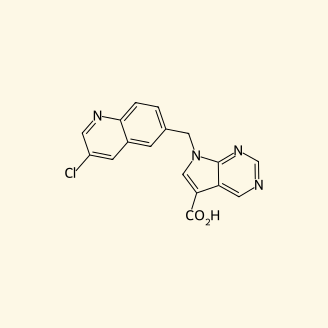 O=C(O)c1cn(Cc2ccc3ncc(Cl)cc3c2)c2ncncc12